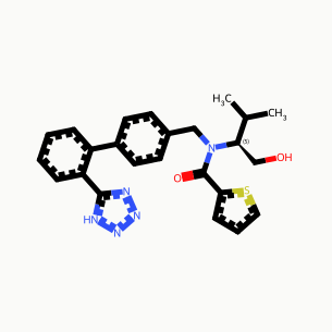 CC(C)[C@@H](CO)N(Cc1ccc(-c2ccccc2-c2nnn[nH]2)cc1)C(=O)c1cccs1